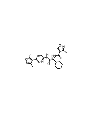 Cc1nocc1C(=O)N[C@H](C(=O)Nc1ccc(-c2c(C)noc2C)cn1)C1CCCCC1